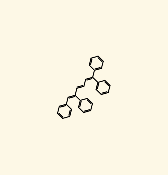 C(=CC(=Cc1ccccc1)c1ccccc1)C=C(c1ccccc1)c1ccccc1